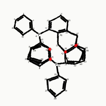 c1ccc(P(c2ccccc2)c2cccc3c2C2c4c(cccc4P(c4ccccc4)c4ccccc4)C3C3CCCC23)cc1